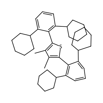 Cc1c(-c2c(C3CCCCC3)cccc2C2CCCCC2)sc(-c2c(C3CCCCC3)cccc2C2CCCCC2)c1C